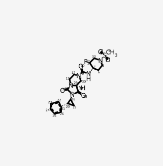 CS(=O)(=O)N1CC[C@H](NC(=O)N2CCN3C(=O)N([C@H]4C[C@@H]4c4ccccc4)C(=O)[C@@H]3C2)[C@H](F)C1